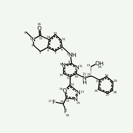 CN1CCc2cc(Nc3ncc(-c4nnc(C(F)F)o4)c(N[C@H](CO)c4ccccc4)n3)ccc2C1=O